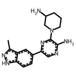 Cc1n[nH]c2ccc(-c3cnc(N)c(N4CCCC(N)C4)n3)cc12